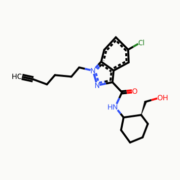 C#CCCCCn1nc(C(=O)NC2CCCC[C@@H]2CO)c2cc(Cl)ccc21